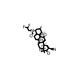 C[C@@H]1[C@H]2[C@H]3C(=O)C=C4[C@@]5(C)C=C(C#N)C(=O)C(C)(C)[C@@H]5CC[C@@]4(C)[C@]3(C)CC[C@@]2(C(=O)NCC(F)F)CC[C@H]1C